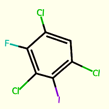 Fc1c(Cl)cc(Cl)c(I)c1Cl